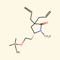 C=CCC1(CC=C)C[C@@H](CCO[Si](C)(C)C(C)(C)C)N(C(=O)O)C1=O